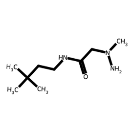 CN(N)CC(=O)NCCC(C)(C)C